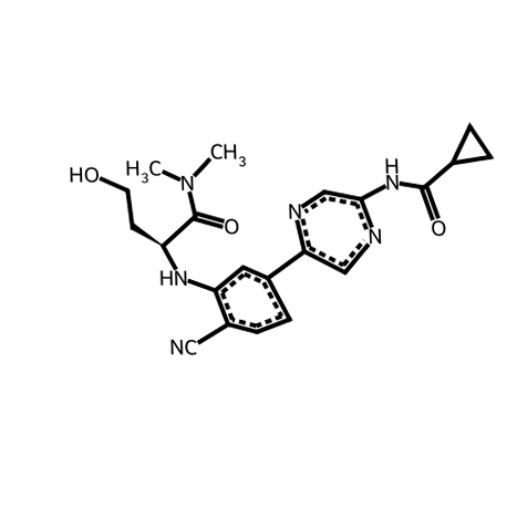 CN(C)C(=O)[C@H](CCO)Nc1cc(-c2cnc(NC(=O)C3CC3)cn2)ccc1C#N